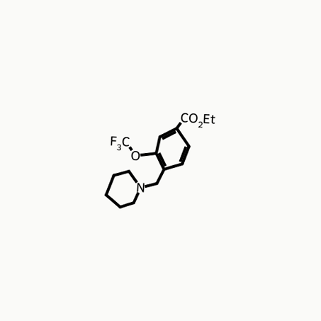 CCOC(=O)c1ccc(CN2CCCCC2)c(OC(F)(F)F)c1